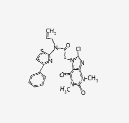 C=CCN(C(=O)Cn1c(Cl)nc2c1c(=O)n(C)c(=O)n2C)c1nc(-c2ccccc2)cs1